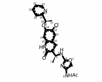 CC(=O)Nc1coc(N[C@@H](C)c2cc3cc(Cl)c(O[C@H](C)c4ccccn4)cc3[nH]c2=O)n1